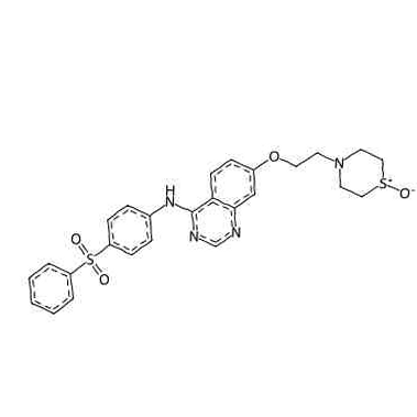 O=S(=O)(c1ccccc1)c1ccc(Nc2ncnc3cc(OCCN4CC[S+]([O-])CC4)ccc23)cc1